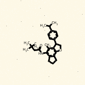 Cc1c(NC(=O)CC(C)(C)C)c2c(c3c1C(c1ccc(C(C)C)cc1)CO3)CCC2